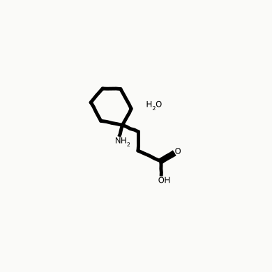 NC1(CCC(=O)O)CCCCC1.O